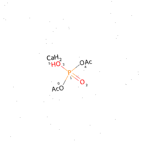 CC(=O)OP(=O)(O)OC(C)=O.[CaH2]